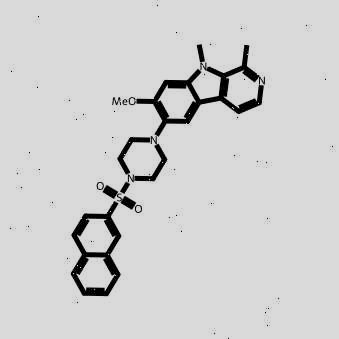 COc1cc2c(cc1N1CCN(S(=O)(=O)c3ccc4ccccc4c3)CC1)c1ccnc(C)c1n2C